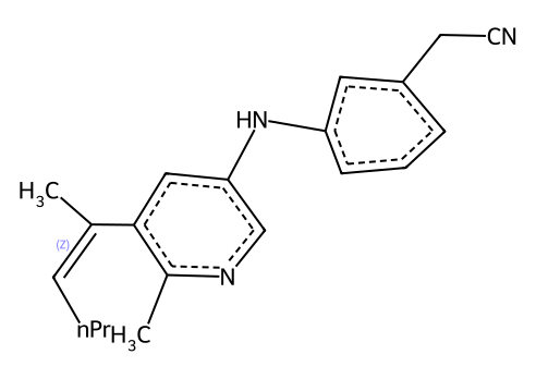 CCC/C=C(/C)c1cc(Nc2cccc(CC#N)c2)cnc1C